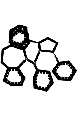 c1ccc([C@H]2CC[C@H](c3ccccc3)P2N(c2ccccc2)P2c3ccccc3CCc3ccccc32)cc1